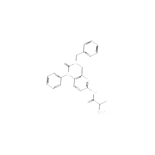 CNC(C)C(=O)Nc1ccc2c(n1)CN(Cc1ccccc1)C(=O)N2c1ccccc1